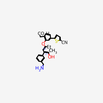 CC/C(=C\C(=C(/C)O)c1cccc(CN)c1)Oc1cc(-c2ccc(C#N)s2)ccc1CC(=O)O